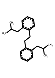 CC(C)Cc1ccccc1CCc1ccccc1CC(C)C